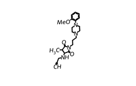 C#CCNC1C(=O)N(CCCN2CCN(c3ccccc3OC)CC2)C(=O)C1C